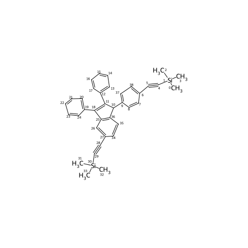 C[Si](C)(C)C#Cc1ccc(C2C(c3ccccc3)=C(c3ccccc3)c3cc(C#C[Si](C)(C)C)ccc32)cc1